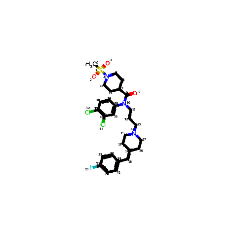 CS(=O)(=O)N1CCC(C(=O)N(CCCN2CCC(Cc3ccc(F)cc3)CC2)c2ccc(Cl)c(Cl)c2)CC1